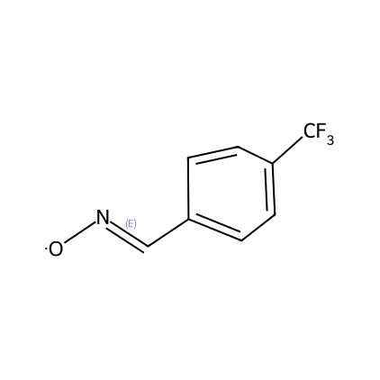 [O]/N=C/c1ccc(C(F)(F)F)cc1